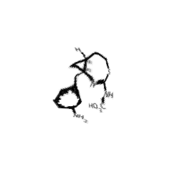 Nc1cccc([C@@]23C[C@@H]2CCSC(NC(=O)O)=N3)c1